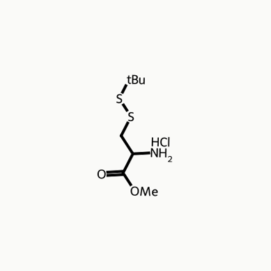 COC(=O)C(N)CSSC(C)(C)C.Cl